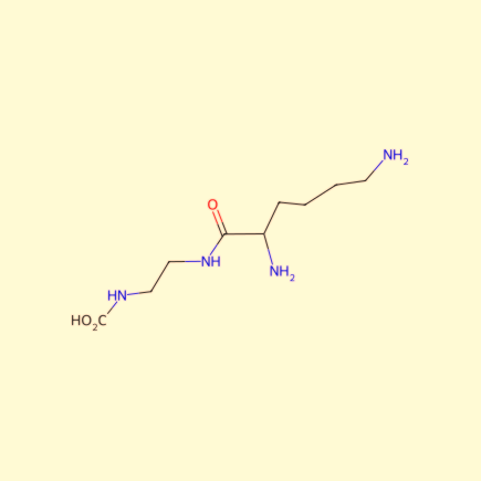 NCCCCC(N)C(=O)NCCNC(=O)O